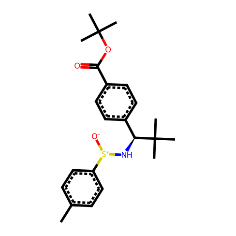 Cc1ccc([S+]([O-])N[C@@H](c2ccc(C(=O)OC(C)(C)C)cc2)C(C)(C)C)cc1